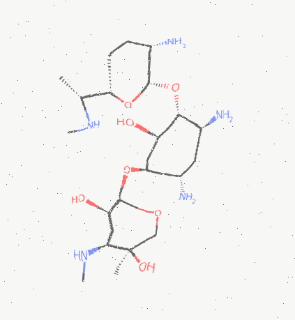 CN[C@H](C)[C@@H]1CC[C@H](N)[C@H](O[C@H]2[C@H](O)[C@H](O[C@H]3OC[C@@](C)(O)[C@@H](NC)[C@H]3O)[C@@H](N)C[C@@H]2N)O1